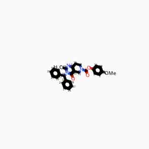 COc1ccc(OC(=O)N2CCc3nc(C)n(C(c4ccccc4)c4ccccc4)c(=O)c3C2)cc1